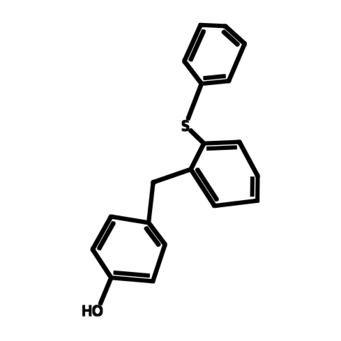 Oc1ccc(Cc2ccccc2Sc2ccccc2)cc1